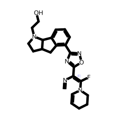 C=N/C(=C(/F)N1C=CCCC1)c1nc(-c2cccc3c2CC2CCN(CCO)C32)no1